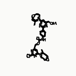 C[C@H]1COCCN1c1cc(COC(=O)Nc2ccc(-c3nc(CO)cc(N4CCOC[C@@H]4C)n3)cc2)nc(Cl)n1